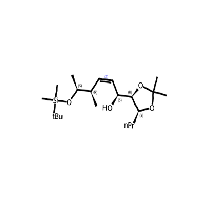 CCC[C@@H]1OC(C)(C)O[C@@H]1[C@@H](O)/C=C\[C@@H](C)[C@H](C)O[Si](C)(C)C(C)(C)C